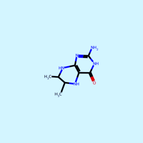 CC1Nc2nc(N)[nH]c(=O)c2NC1C